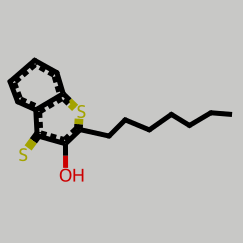 CCCCCCCc1sc2ccccc2c(=S)c1O